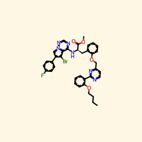 CCCCOc1ccccc1-c1nccc(COc2ccccc2C[C@@H](Nc2ncnn3cc(-c4ccc(F)cc4)c(Br)c23)C(=O)OC)n1